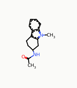 CC(=O)NC1CCc2c(n(C)c3ccccc23)C1